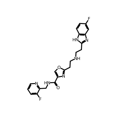 O=C(NCc1ncccc1F)c1coc(CCNCCc2nc3cc(F)ccc3[nH]2)n1